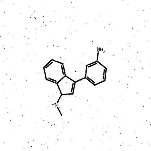 CNC1C=C(c2cccc(N)c2)c2ccccc21